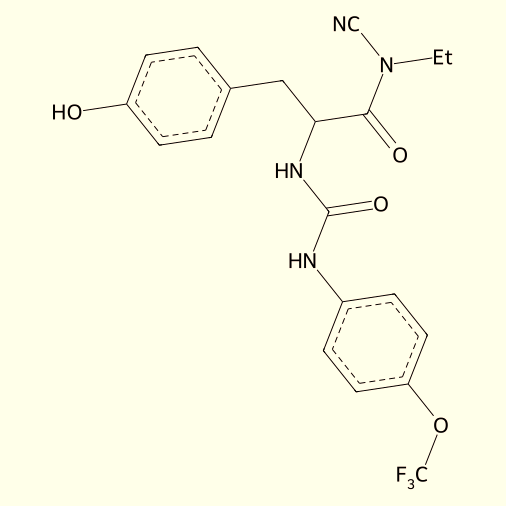 CCN(C#N)C(=O)C(Cc1ccc(O)cc1)NC(=O)Nc1ccc(OC(F)(F)F)cc1